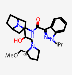 COC[C@@H]1CCCN1CC(O)CN1C2CCC1CC(NC(=O)c1nn(C(C)C)c3ccccc13)C2